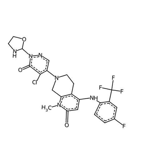 Cn1c2c(c(Nc3ccc(F)cc3C(F)(F)F)cc1=O)CCN(c1cnn(C3NCCO3)c(=O)c1Cl)C2